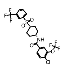 O=C(N[C@H]1CC[C@H](S(=O)(=O)c2cccc(C(F)(F)F)c2)CC1)c1ccc(Cl)c(OC(F)(F)F)c1